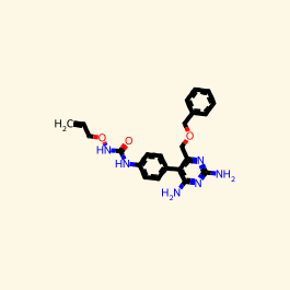 C=CCONC(=O)Nc1ccc(-c2c(N)nc(N)nc2COCc2ccccc2)cc1